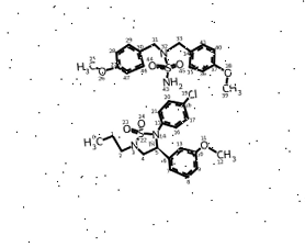 CCCN1C[C@H](c2cccc(OC)c2)N(c2ccc(Cl)cc2)S1(=O)=O.COc1ccc(CN(Cc2ccc(OC)cc2)S(N)(=O)=O)cc1